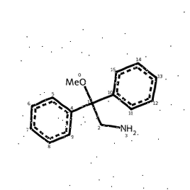 COC(CN)(c1ccccc1)c1ccccc1